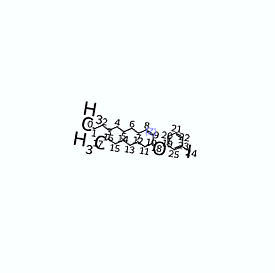 CCCCCCCC/C=C\C(CCCCCCC)Oc1cccc(I)c1